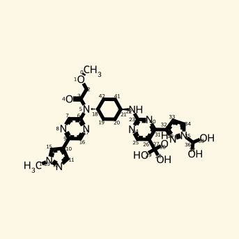 COCC(=O)N(c1cnc(-c2cnn(C)c2)cn1)[C@H]1CC[C@H](Nc2ncc(C(O)(O)O)c(-c3ccn(C(O)O)n3)n2)CC1